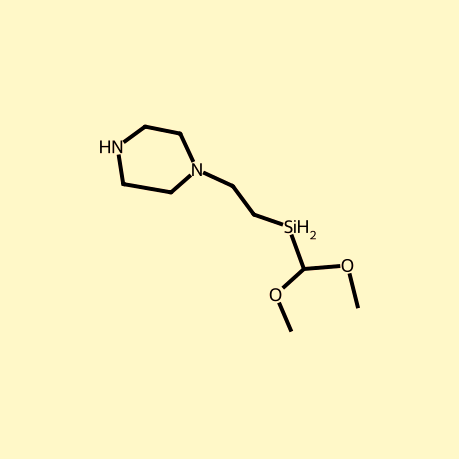 COC(OC)[SiH2]CCN1CCNCC1